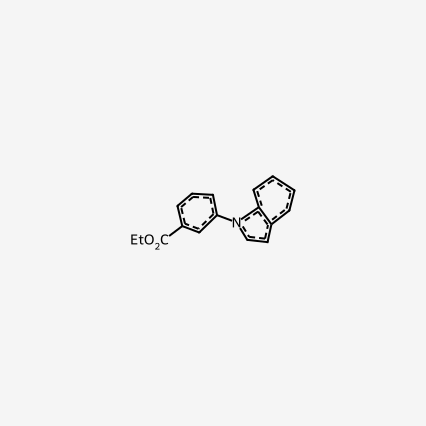 CCOC(=O)c1cccc(-n2ccc3ccccc32)c1